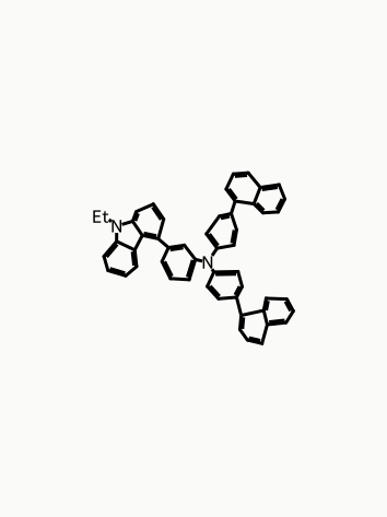 CCn1c2ccccc2c2c(-c3cccc(N(c4ccc(-c5cccc6ccccc56)cc4)c4ccc(-c5cccc6ccccc56)cc4)c3)cccc21